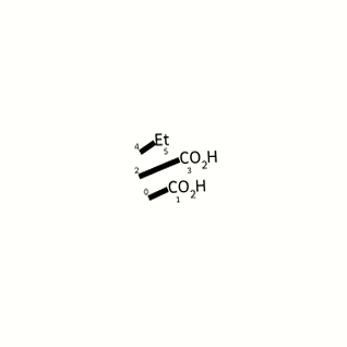 CC(=O)O.CC(=O)O.CCC